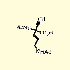 C#CC(C=CCNC(C)=O)(NC(C)=O)C(=O)O